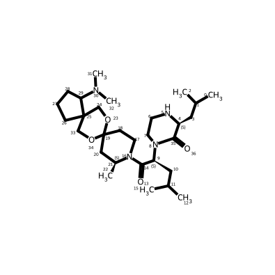 CC(C)C[C@@H]1NCCN([C@@H](CC(C)C)C(=O)N2CCC3(C[C@@H]2C)OCC2(CCCC2N(C)C)CO3)C1=O